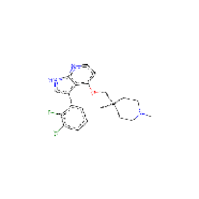 CN1CCC(C)(COc2ccnc3[nH]cc(-c4cccc(F)c4F)c23)CC1